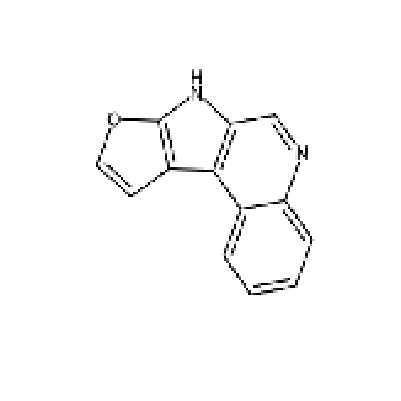 c1ccc2c(c1)ncc1[nH]c3occc3c12